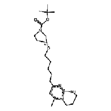 Cc1cc(CCCCCO[C@@H]2CCN(C(=O)OC(C)(C)C)C2)nc2c1CCCN2